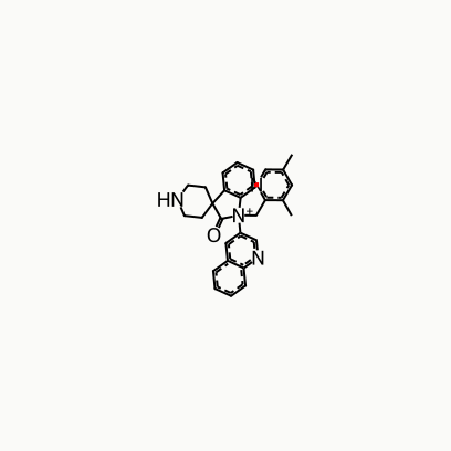 Cc1cnc(C[N+]2(c3cnc4ccccc4c3)C(=O)C3(CCNCC3)c3ccccc32)c(C)c1